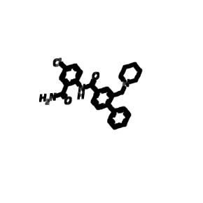 NC(=O)c1cc(Cl)ccc1NC(=O)c1ccc(-c2ccccc2)c(CN2CCCCC2)c1